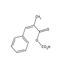 CC(=Cc1ccccc1)C(=O)OC(=O)O